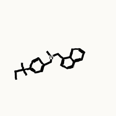 CCC(C)(C)c1ccc(CN(C)Cc2cccc3ccccc23)cc1